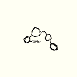 COc1ccccc1N1CCCN(CC2CCN(c3ccccc3)CC2)CC1